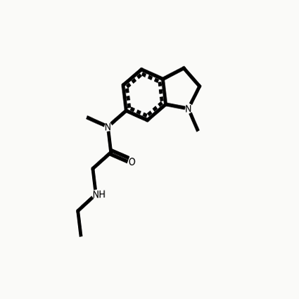 CCNCC(=O)N(C)c1ccc2c(c1)N(C)CC2